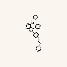 c1ccc(C2c3c(NC[C@@H]4CCCO4)ncnc3OC2c2ccc(OCCN3CCOCC3)cc2)cc1